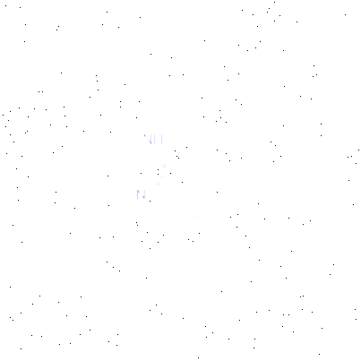 C1=CC2=NC=C1C2.N